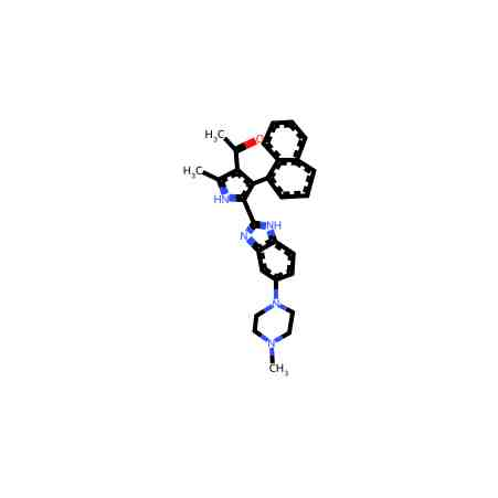 CC(=O)c1c(C)[nH]c(-c2nc3cc(N4CCN(C)CC4)ccc3[nH]2)c1-c1cccc2ccccc12